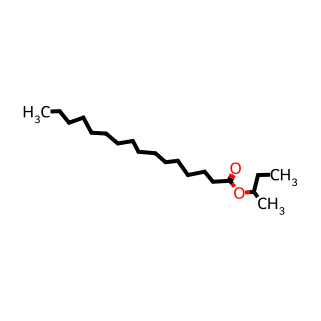 CCCCCCCCCCCCCCCC(=O)OC(C)CC